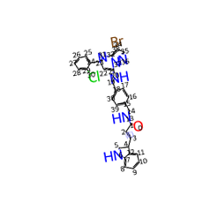 O=C(/C=C/C1CNc2ccccc21)NCc1ccc(CNc2cc(-c3ccccc3Cl)nc3c(Br)cnn23)cc1